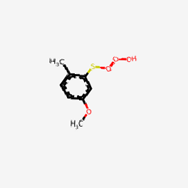 COc1ccc(C)c(SOOO)c1